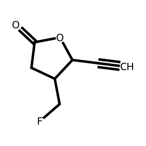 C#CC1OC(=O)CC1CF